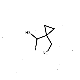 N#CCC1(C(S)I)CC1